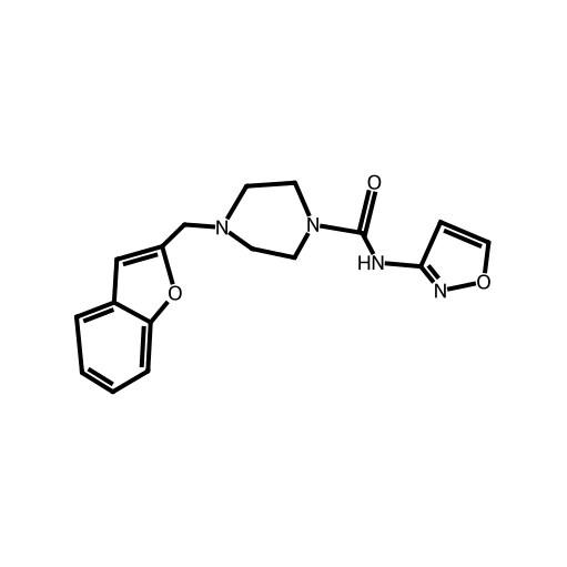 O=C(Nc1ccon1)N1CCN(Cc2cc3ccccc3o2)CC1